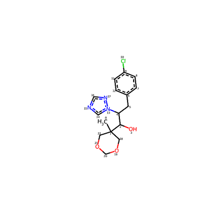 CC1(C(O)C(Cc2ccc(Cl)cc2)n2cncn2)COCOC1